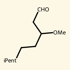 CCCC(C)CCC(CC=O)OC